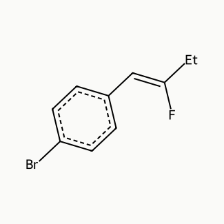 [CH2]CC(F)=Cc1ccc(Br)cc1